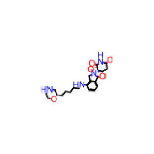 O=C1CCC([N+]2([O-])Cc3c(NCCCCC[C@@H]4CNCCO4)cccc3C2=O)C(=O)N1